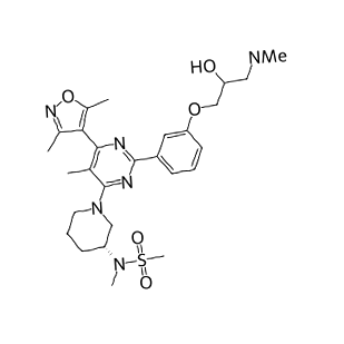 CNCC(O)COc1cccc(-c2nc(-c3c(C)noc3C)c(C)c(N3CCC[C@@H](N(C)S(C)(=O)=O)C3)n2)c1